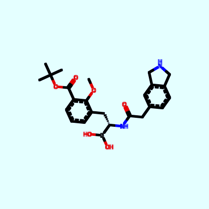 COc1c(C[C@H](NC(=O)Cc2ccc3c(c2)CNC3)B(O)O)cccc1C(=O)OC(C)(C)C